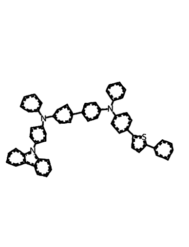 c1ccc(-c2ccc(-c3ccc(N(c4ccccc4)c4ccc(-c5ccc(N(c6ccccc6)c6ccc(-n7c8ccccc8c8ccccc87)cc6)cc5)cc4)cc3)s2)cc1